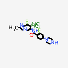 Cc1cn2cc(NC(=O)c3ccc(N4CCNCC4)cc3F)cc(F)c2n1.Cl.Cl